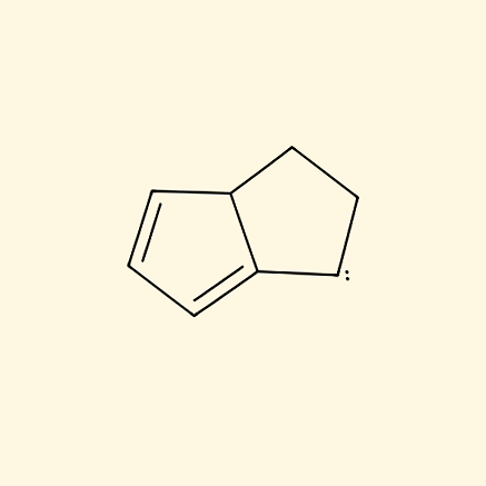 [C]1CCC2C=CC=C12